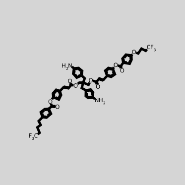 Nc1ccc(CC(COC(=O)/C=C/c2ccc(OC(=O)c3ccc(CCCCC(F)(F)F)cc3)cc2)(COC(=O)/C=C/c2ccc(OC(=O)c3ccc(OCCCC(F)(F)F)cc3)cc2)Cc2ccc(N)cc2)cc1